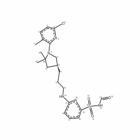 Cc1ccc(Cl)nc1N1C[C@@H](CCCNc2cccc(S(=O)(=O)NC=O)n2)CC1(C)C